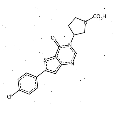 O=C(O)N1CCC(n2cnc3cc(-c4ccc(Cl)cc4)sc3c2=O)C1